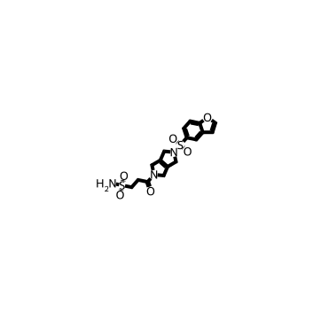 NS(=O)(=O)CCC(=O)N1CC2=C(C1)CN(S(=O)(=O)c1ccc3occc3c1)C2